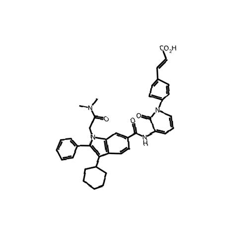 CN(C)C(=O)Cn1c(-c2ccccc2)c(C2CCCCC2)c2ccc(C(=O)Nc3cccn(-c4ccc(/C=C/C(=O)O)cc4)c3=O)cc21